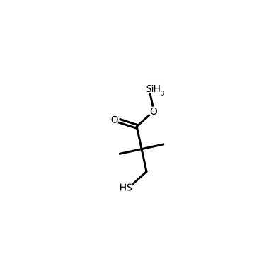 CC(C)(CS)C(=O)O[SiH3]